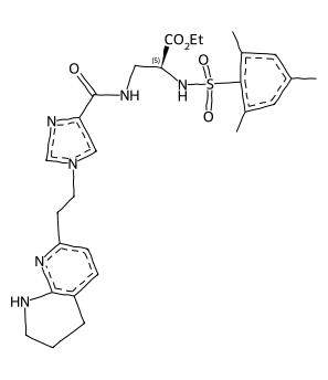 CCOC(=O)[C@H](CNC(=O)c1cn(CCc2ccc3c(n2)NCCC3)cn1)NS(=O)(=O)c1c(C)cc(C)cc1C